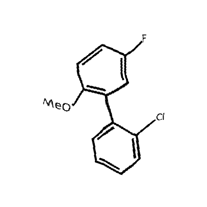 COc1ccc(F)cc1-c1ccccc1Cl